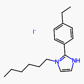 CCCCCC[n+]1cc[nH]c1-c1ccc(CC)cc1.[I-]